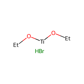 Br.CC[O][Ti][O]CC